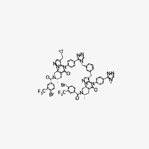 C[C@H]1Cc2c(n3ncc(Cc4cccc(Cn5cnnc5-c5ccc(-n6c(=O)c7c(n8ncc(CC9CC9)c68)CN(C(=O)c6ccc(Br)c(C(F)(F)F)c6)[C@@H](C)C7)cc5)c4)c3n(-c3ccc(-c4nncn4C)cc3)c2=O)CN1C(=O)c1ccc(Br)c(C(F)(F)F)c1